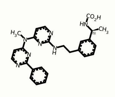 C[C@H](NC(=O)O)c1cccc(CCNc2nccc(N(C)c3ccnc(-c4ccccc4)n3)n2)c1